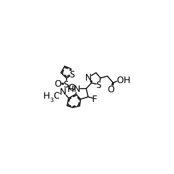 CN(c1cccc2c1NC(C1=NCC(CC(=O)O)S1)C2F)S(=O)(=O)c1cccs1